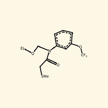 CCOCN(C(=O)CSC)c1cccc(OC(F)(F)F)c1